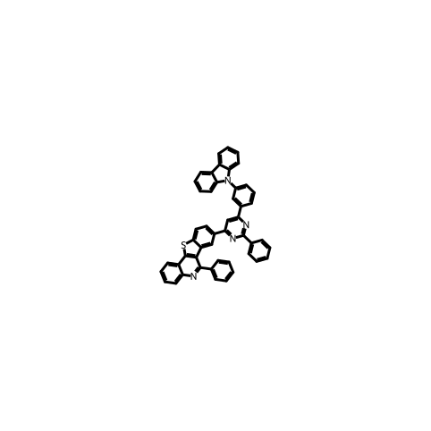 c1ccc(-c2nc(-c3cccc(-n4c5ccccc5c5ccccc54)c3)cc(-c3ccc4sc5c6ccccc6nc(-c6ccccc6)c5c4c3)n2)cc1